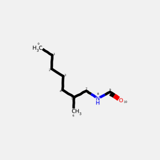 CCCCCC(C)CN[C]=O